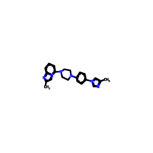 Cc1cn(-c2ccc(N3CCN(c4cccc5nc(C)cn45)CC3)cc2)cn1